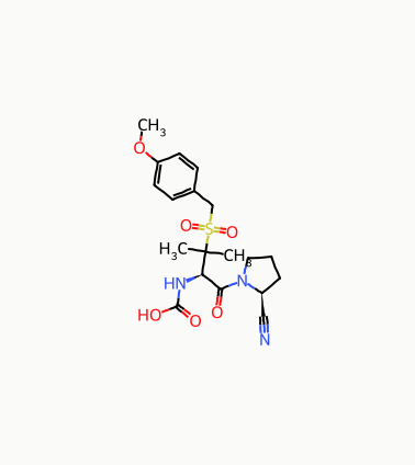 COc1ccc(CS(=O)(=O)C(C)(C)[C@H](NC(=O)O)C(=O)N2CCC[C@H]2C#N)cc1